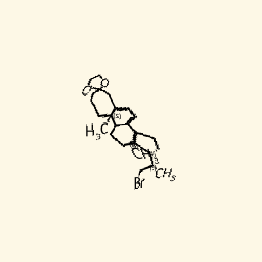 C[C@H](CBr)[C@H]1CCC2C3=CC=C4CC5(CC[C@@]4(C)C3CC[C@@]21C)OCCO5